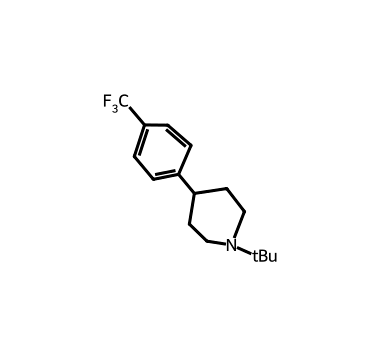 CC(C)(C)N1CCC(c2ccc(C(F)(F)F)cc2)CC1